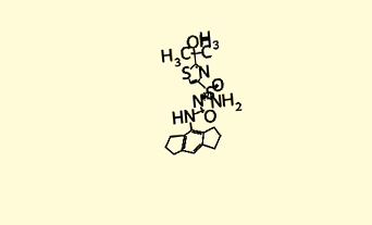 CC(C)(O)c1nc([S@](N)(=O)=NC(=O)Nc2c3c(cc4c2CCC4)CCC3)cs1